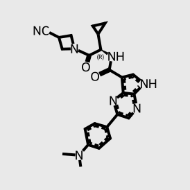 CN(C)c1ccc(-c2cnc3[nH]cc(C(=O)N[C@@H](C(=O)N4CC(C#N)C4)C4CC4)c3n2)cc1